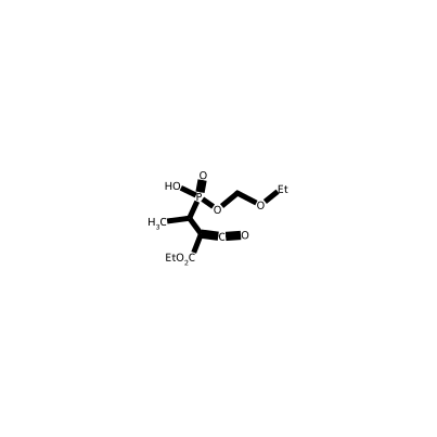 CCOCOP(=O)(O)C(C)C(=C=O)C(=O)OCC